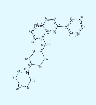 c1ncc(-c2ccc3ncnc(NC4CCC(N5CCOCC5)CC4)c3c2)cn1